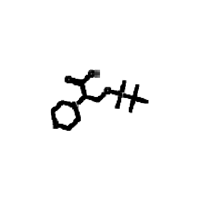 CC(C)(C)[Si](C)(C)OCC(C(=O)O)N1CCSCC1